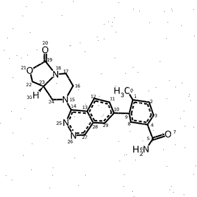 Cc1ccc(C(N)=O)cc1-c1ccc2c(N3CCN4C(=O)OC[C@H]4C3)nncc2c1